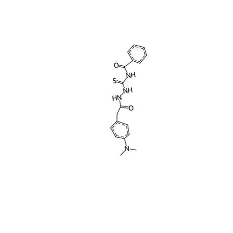 CN(C)c1ccc(CC(=O)NNC(=S)NC(=O)c2ccccc2)cc1